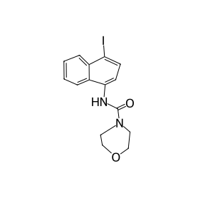 O=C(Nc1ccc(I)c2ccccc12)N1CCOCC1